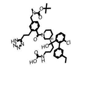 CCc1cccc(-c2c(Cl)cccc2C(O)(CCCNC(=O)O)[C@@H]2CCCN(C(=O)c3ccc(CN(C)C(=O)OC(C)(C)C)cc3CCc3nnn[nH]3)C2)c1